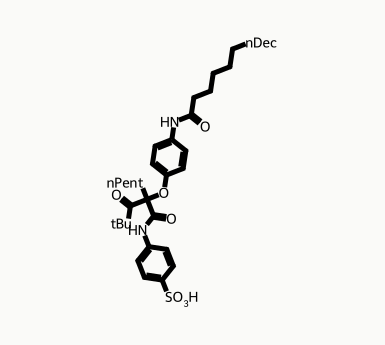 CCCCCCCCCCCCCCCC(=O)Nc1ccc(OC(CCCCC)(C(=O)Nc2ccc(S(=O)(=O)O)cc2)C(=O)C(C)(C)C)cc1